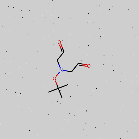 CC(C)(C)ON(CC=O)CC=O